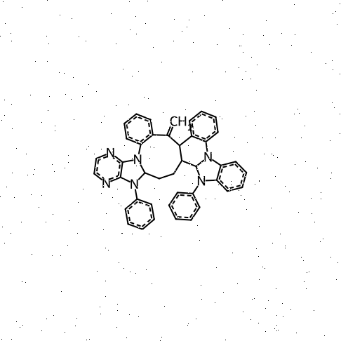 C=C1c2ccccc2N2c3nccnc3N(c3ccccc3)C2CCC2C1c1ccccc1N1c3ccccc3N(c3ccccc3)C21